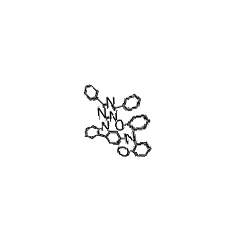 c1ccc(-c2nc(-c3ccccc3)nc(-n3c4ccccc4c4cc5c6c(c43)Oc3ccccc3N6c3ccccc3O5)n2)cc1